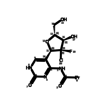 CC(C)C(=O)Nc1nc(=O)[nH]cc1[C@H]1O[C@H](CO)[C@@H](O)[C@]1(F)Cl